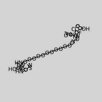 C=CC(=O)N1CCN(c2nc(O[C@H](C)CN3CCC(OCCOCCOCCOCCOCCOCCOCCOCCOCCOCCOCC(=O)N[C@H](C(=O)N4C[C@H](O)C[C@H]4C(=O)N[C@@H](C)c4ccc(-c5scnc5C)cc4)C(C)(C)C)CC3)nc3c(F)c(-c4cc(O)cc5ccccc45)c(Cl)cc23)CC1